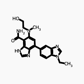 CCn1cnc2cc(-c3cc(N(C)CCO)c(C(N)=O)c4[nH]cnc34)ccc21